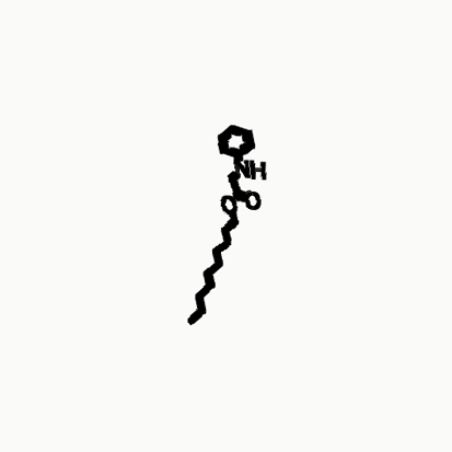 CCCCCCCCCCOC(=O)CNc1ccccc1